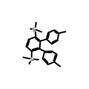 Cc1ccc(-c2c([Si](C)(C)C)ccc([Si](C)(C)C)c2-c2ccc(C)cc2)cc1